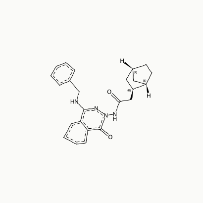 O=C(C[C@H]1C[C@@H]2CC[C@H]1C2)Nn1nc(NCc2ccccc2)c2ccccc2c1=O